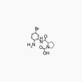 Nc1ccc(Br)cc1NC(=O)C1CCCN1C(=O)O